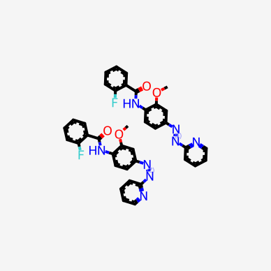 COc1cc(/N=N/c2ccccn2)ccc1NC(=O)c1ccccc1F.COc1cc(/N=N\c2ccccn2)ccc1NC(=O)c1ccccc1F